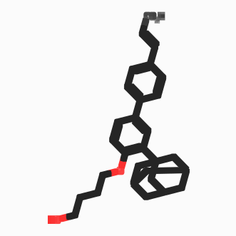 O=C(O)/C=C/c1ccc(-c2ccc(OCCCCO)c(C34CC5CC(CC(C5)C3)C4)c2)cc1